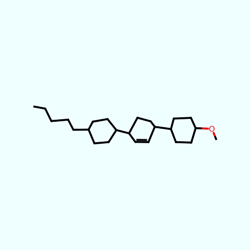 CCCCCC1CCC(C2C=CC(C3CCC(OC)CC3)CC2)CC1